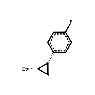 CC[C@H]1C[C@H]1c1ccc(F)cc1